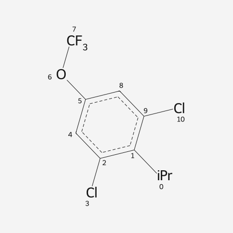 CC(C)c1c(Cl)cc(OC(F)(F)F)cc1Cl